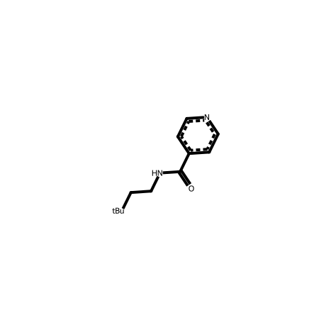 CC(C)(C)CCNC(=O)c1ccncc1